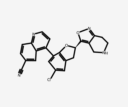 N#Cc1ccc2nccc(-c3cc(Cl)cc4c3O[C@@H](c3onc5c3CNCC5)C4)c2c1